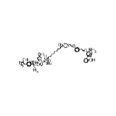 Cc1ncsc1-c1ccc([C@H](C)NC(=O)[C@@H]2C[C@@H](O)CN2C(=O)[C@@H](NC(=O)CCCCCCCCC(=O)N2CCN(CCOc3cccc(CCOc4cc(-c5ccccc5O)nnc4N)c3)CC2)C(C)(C)C)cc1